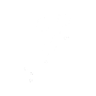 CCN(CC)CCOc1ccc(/C(=C(\C)c2ccccc2)c2ccccc2)cc1